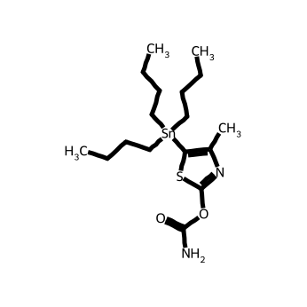 CCC[CH2][Sn]([CH2]CCC)([CH2]CCC)[c]1sc(OC(N)=O)nc1C